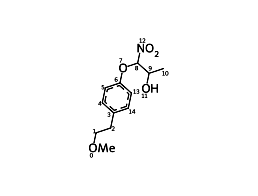 COCCc1ccc(OC(C(C)O)[N+](=O)[O-])cc1